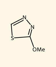 COc1nncs1